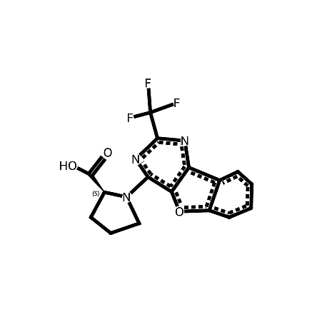 O=C(O)[C@@H]1CCCN1c1nc(C(F)(F)F)nc2c1oc1ccccc12